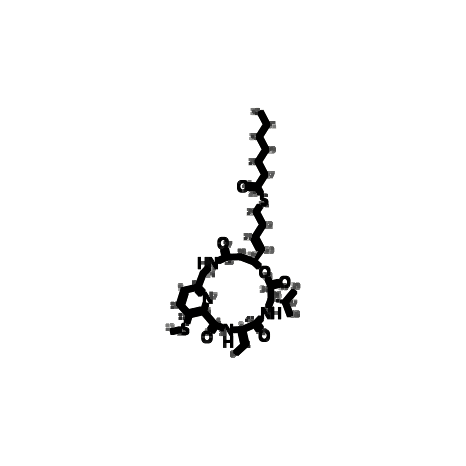 C/C=C1\NC(=O)c2nc(ccc2SC)CNC(=O)C[C@@H](/C=C/CCSC(=O)CCCCCC)OC(=O)[C@H](C(C)C)NC1=O